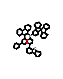 c1ccc(-c2cccc(-c3c(N(c4ccc(-c5cccc6c5oc5ccccc56)cc4)c4ccc(C5(c6ccccc6)c6ccccc6-c6ccccc65)cc4)c4ccccc4c4ccccc34)c2)cc1